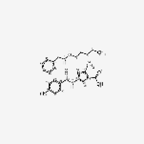 CCCCCONCc1ccccc1.Cc1nc(NC(=O)c2ccc(Cl)cc2)sc1C(=O)O